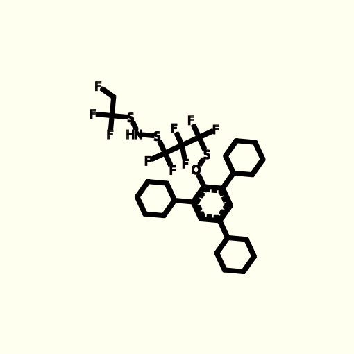 FCC(F)(F)SNSC(F)(F)C(F)(F)C(F)(F)SOc1c(C2CCCCC2)cc(C2CCCCC2)cc1C1CCCCC1